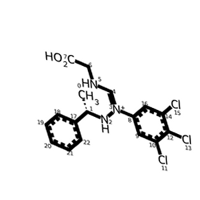 C[C@H](N[N+](=CNCC(=O)O)c1cc(Cl)c(Cl)c(Cl)c1)c1ccccc1